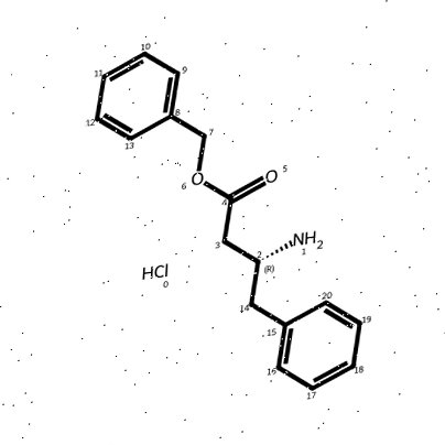 Cl.N[C@@H](CC(=O)OCc1ccccc1)Cc1ccccc1